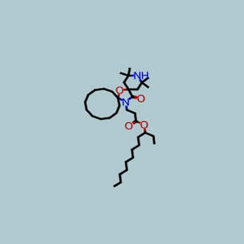 CCCCCCCCCC(CC)OC(=O)CCN1C(=O)C2(CC(C)(C)NC(C)(C)C2)OC12CCCCCCCCCCC2